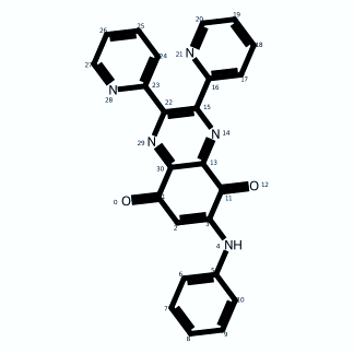 O=C1C=C(Nc2ccccc2)C(=O)c2nc(-c3ccccn3)c(-c3ccccn3)nc21